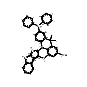 CC(C)(C)c1cc2c3c(c1)C(C)(C)c1cc(N(c4ccccc4)c4ccccc4)ccc1B3c1oc3oc4ccccc4c3c1S2